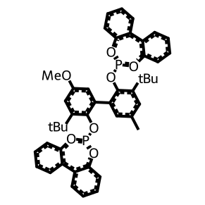 COc1cc(-c2cc(C)cc(C(C)(C)C)c2Op2oc3ccccc3c3ccccc3o2)c(Op2oc3ccccc3c3ccccc3o2)c(C(C)(C)C)c1